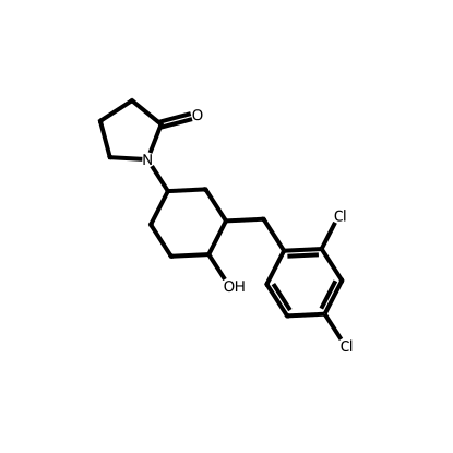 O=C1CCCN1C1CCC(O)C(Cc2ccc(Cl)cc2Cl)C1